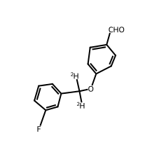 [2H]C([2H])(Oc1ccc(C=O)cc1)c1cccc(F)c1